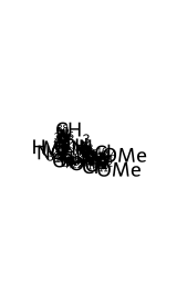 CNc1ncc2cc(-c3c(Cl)c(OC)cc(OC)c3Cl)c(=O)n(CCOC3CN(C(=O)C(C#N)=CC(C)(C)N4CCN(C)CC4)C3)c2n1